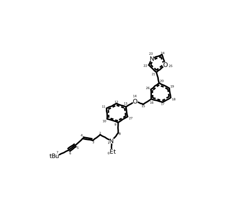 CCN(CC=CC#CC(C)(C)C)Cc1cccc(OCc2cccc(-c3cnco3)c2)c1